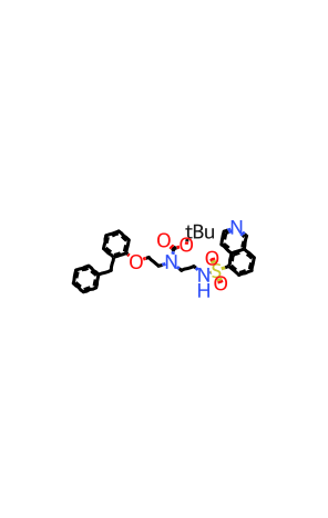 CC(C)(C)OC(=O)N(CCNS(=O)(=O)c1cccc2cnccc12)CCOc1ccccc1Cc1ccccc1